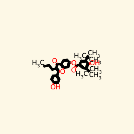 CCCCc1c(-c2ccc(O)cc2)oc2cc(OC(=O)c3cc(C(C)(C)C)c(O)c(C(C)(C)C)c3)ccc2c1=O